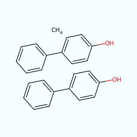 C.Oc1ccc(-c2ccccc2)cc1.Oc1ccc(-c2ccccc2)cc1